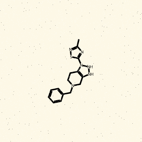 Cc1nsc(N2NNC3=C2CCN(Cc2ccccc2)C3)n1